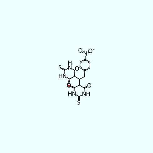 O=C1NC(=S)NC(=O)C1C(Cc1ccc([N+](=O)[O-])cc1)C1C(=O)NC(=S)NC1=O